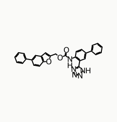 O=C(Nc1ccc(-c2ccccc2)cc1-c1nnn[nH]1)OCc1cc2cc(-c3ccccc3)ccc2o1